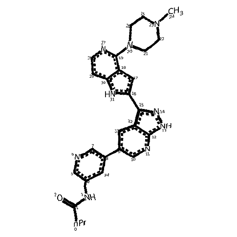 CCCC(=O)Nc1cncc(-c2cnc3[nH]nc(-c4cc5c(N6CCN(C)CC6)nccc5[nH]4)c3c2)c1